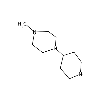 CN1CCN(C2CC[N]CC2)CC1